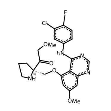 COCC(=O)[C@]1(COc2cc(OC)cc3ncnc(Nc4ccc(F)c(Cl)c4)c23)CCCN1